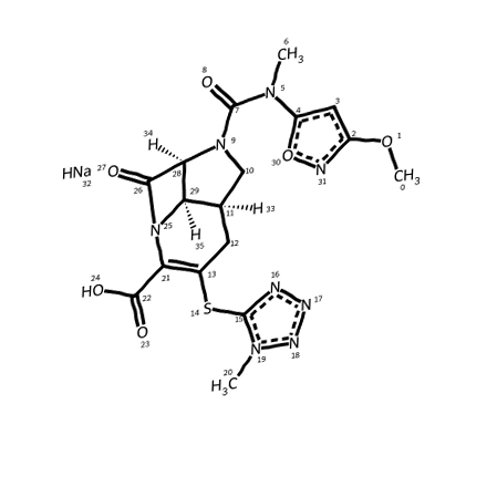 COc1cc(N(C)C(=O)N2C[C@H]3CC(Sc4nnnn4C)=C(C(=O)O)N4C(=O)[C@@H]2[C@@H]34)on1.[NaH]